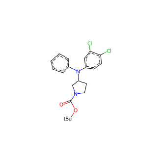 CC(C)(C)OC(=O)N1CCC(N(c2ccccc2)c2ccc(Cl)c(Cl)c2)C1